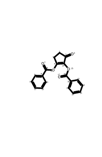 O=C1CCC(OC(=O)c2ccccc2)=C1OC(=O)c1ccccc1